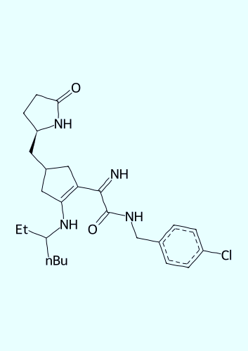 CCCCC(CC)NC1=C(C(=N)C(=O)NCc2ccc(Cl)cc2)CC(C[C@H]2CCC(=O)N2)C1